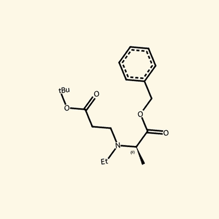 CCN(CCC(=O)OC(C)(C)C)[C@H](C)C(=O)OCc1ccccc1